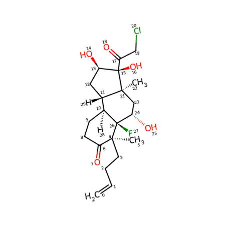 C=CCC[C@@]1(C)C(=O)CC[C@H]2[C@@H]3C[C@@H](O)[C@](O)(C(=O)CCl)[C@@]3(C)C[C@H](O)[C@@]21F